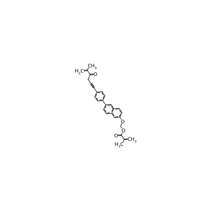 C=C(C)C(=O)CC#Cc1ccc(-c2ccc3cc(OCOC(=O)C(=C)C)ccc3c2)cc1